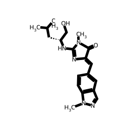 CC(C)C[C@H](CO)NC1=N/C(=C\c2ccc3c(cnn3C)c2)C(=O)N1C